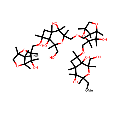 COCC1(C)OC(C)(CO)C2(O)C(C)(OCC3(C)OC4(C)COC(C)(C3(C)O)C4(C)COCC3(C)OC(C)(CO)C4(O)C(C)(OCC5(C)OC6(C)COC(C)(C5(C)O)C6(C)OC)CC4(C)C3(C)O)CC2(C)C1(C)O